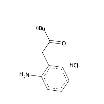 CCCCC(=O)Cc1ccccc1N.Cl